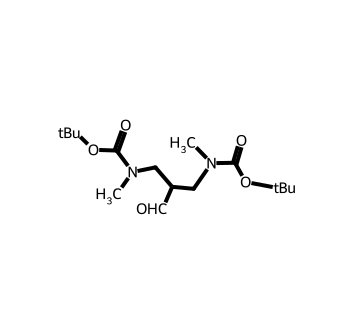 CN(CC(C=O)CN(C)C(=O)OC(C)(C)C)C(=O)OC(C)(C)C